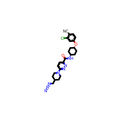 N#Cc1ccc(O[C@H]2CC[C@H](NC(=O)c3ccc(N4CCC(CN=[N+]=[N-])CC4)nn3)CC2)cc1Cl